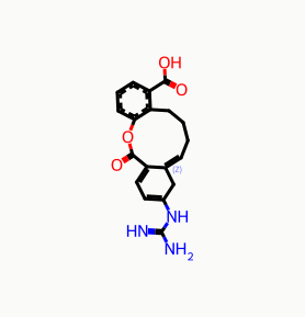 N=C(N)NC1=CC=C2C(=O)Oc3cccc(C(=O)O)c3CCC/C=C\2C1